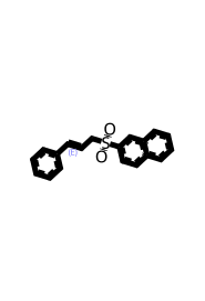 O=S(=O)(C/C=C/c1ccccc1)c1ccc2ccccc2c1